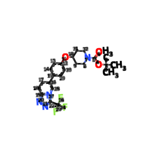 CC(C)(C)OC(=O)N1CCC(Oc2ccc(-c3ccc4nnc(C(F)(F)F)n4c3)cc2)CC1